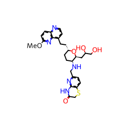 COc1ccc2nccc(CC[C@H]3CC[C@@H](NCc4ccc5c(n4)NC(=O)CS5)[C@H](C[C@@H](O)CO)O3)c2n1